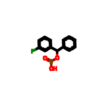 O=S(O)OC(c1ccccc1)c1cccc(F)c1